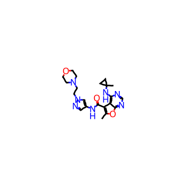 Cc1oc2ncnc(NC3(C)CC3)c2c1C(=O)Nc1cnn(CCN2CCOCC2)c1